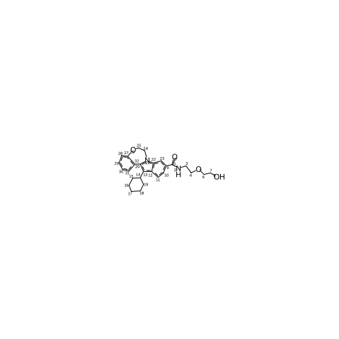 O=C(NCCOCCO)c1ccc2c(C3CCCCC3)c3n(c2c1)CCOc1ccccc1-3